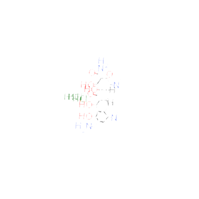 CN(C)c1cc(CN)c(O)c2c1C[C@H]1C[C@H]3[C@H](N(C)C)C(=O)C(C(N)=O)=C(O)[C@@]3(O)C(=O)C1=C2O.Cl.Cl.Cl